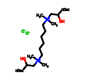 CCCCCCCCCCC(O)C[N+](C)(C)CCCCCC[N+](C)(C)CC(O)CCCCCCCCCC.[Cl-].[Cl-]